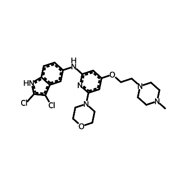 CN1CCN(CCOc2cc(Nc3ccc4[nH]c(Cl)c(Cl)c4c3)nc(N3CCOCC3)c2)CC1